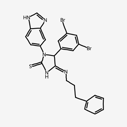 S=C1NC(=NCCCc2ccccc2)C(c2cc(Br)cc(Br)c2)N1c1ccc2[nH]cnc2c1